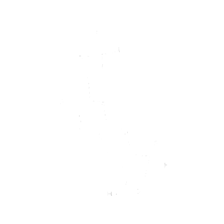 O=C(O)C1Cc2cc(Cl)c(OCC(F)(F)F)cc2OC1C(F)(F)F